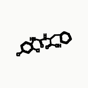 O=C(Nc1ccc(Cl)cc1Cl)NC(Cc1ccccc1)C(=O)O